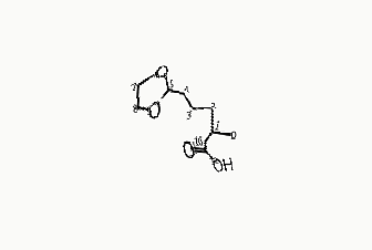 C[C@H](CCCC1OCCO1)C(=O)O